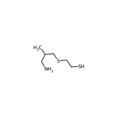 CC(CN)CSCCS